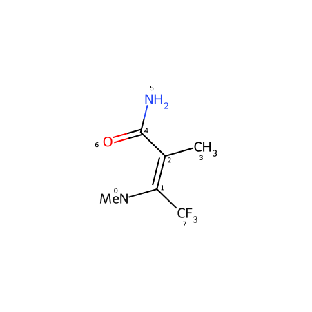 CNC(=C(C)C(N)=O)C(F)(F)F